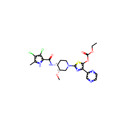 CCOC(=O)Oc1sc(N2CC[C@@H](NC(=O)c3[nH]c(C)c(Cl)c3Cl)[C@@H](OC)C2)nc1-c1cnccn1